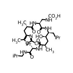 Cc1nc(C[C@H](C)C(=O)N[C@@H](CNC(=O)O)C(=O)N[C@@H](CC(C)C)[C@H](O)C[C@@H](C)C(=O)N[C@H](C(=O)NCC(C)C)C(C)C)c(C)o1